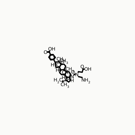 C=C(C)[C@@H]1CC[C@]2(NC(=O)N(CCN)CCC(=O)O)CC[C@]3(C)[C@H](CC[C@@H]4[C@@]5(C)CC=C(c6ccc(C(=O)O)cc6)C(C)(C)[C@@H]5CC[C@]43C)[C@@H]12